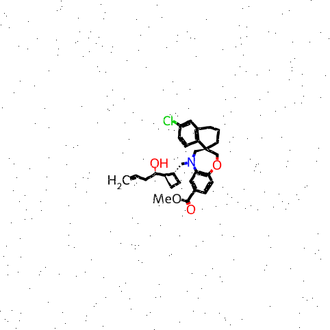 C=CC[C@H](O)[C@@H]1CC[C@H]1CN1C[C@@]2(CCCc3cc(Cl)ccc32)COc2ccc(C(=O)OC)cc21